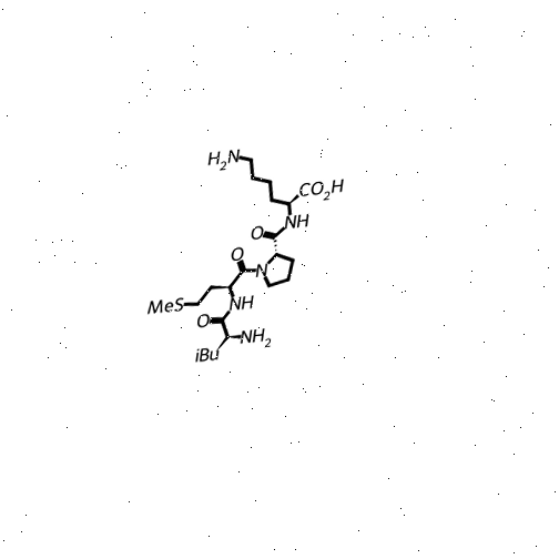 CC[C@H](C)[C@H](N)C(=O)N[C@@H](CCSC)C(=O)N1CCC[C@H]1C(=O)N[C@@H](CCCCN)C(=O)O